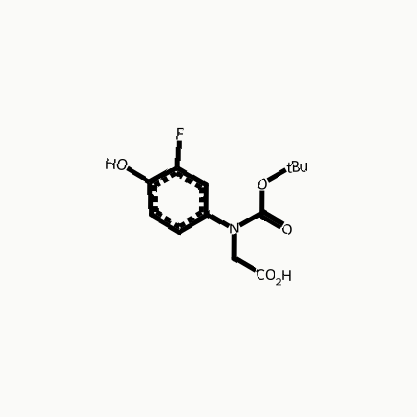 CC(C)(C)OC(=O)N(CC(=O)O)c1ccc(O)c(F)c1